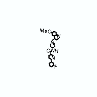 COc1ccc2nccc(CN3CCC(NC(=O)c4ccc(-c5cccc(F)c5)nc4)CC3)c2c1